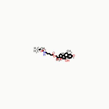 C[C@H]1C[C@@H]2[C@H]([C@@H](O)C[C@@]3(C)[C@H]2CC[C@]3(O)C(=O)COC(=O)CCCCNC(=O)OC(C)(C)C)[C@@]2(C)C=CC(=O)C=C12